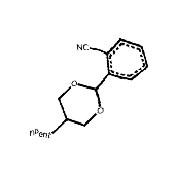 CCCCCC1COC(c2ccccc2C#N)OC1